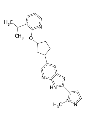 CC(C)c1cccnc1OC1CCC(c2cnc3[nH]c(-c4ccnn4C)cc3c2)C1